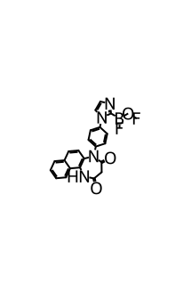 O=C1CC(=O)N(c2ccc(-n3ccnc3B(F)OF)cc2)c2ccc3ccccc3c2N1